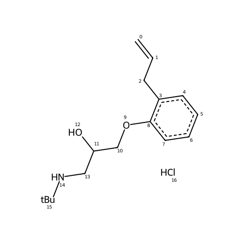 C=CCc1ccccc1OCC(O)CNC(C)(C)C.Cl